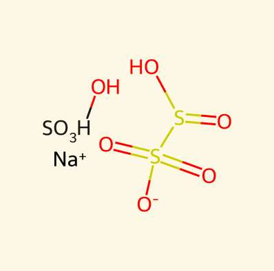 O=S(=O)(O)O.O=S(O)S(=O)(=O)[O-].[Na+]